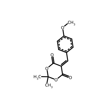 COc1ccc(C=C2C(=O)OC(C)(C)OC2=O)cc1